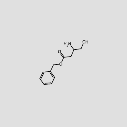 NC(CO)CC(=O)OCc1ccccc1